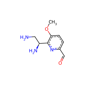 COc1ccc(C=O)nc1[C@@H](N)CN